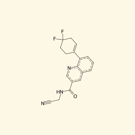 N#CCNC(=O)c1cnc2c(C3=CCC(F)(F)CC3)cccc2c1